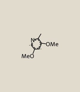 COc1[c]nc(C)c(OC)[c]1